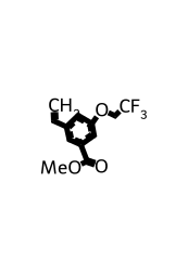 C=Cc1cc(OCC(F)(F)F)cc(C(=O)OC)c1